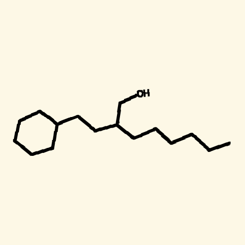 CCCCCCC(CO)CCC1CCCCC1